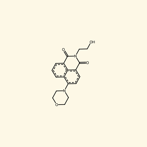 O=C1c2cccc3c(N4CCOCC4)ccc(c23)C(=O)N1CCO